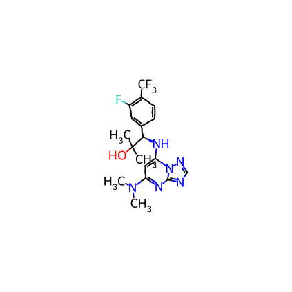 CN(C)c1cc(N[C@H](c2ccc(C(F)(F)F)c(F)c2)C(C)(C)O)n2ncnc2n1